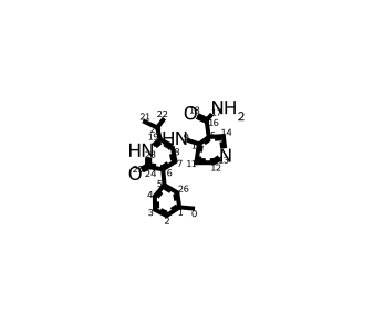 Cc1cccc(-c2cc(Nc3ccncc3C(N)=O)c(C(C)C)[nH]c2=O)c1